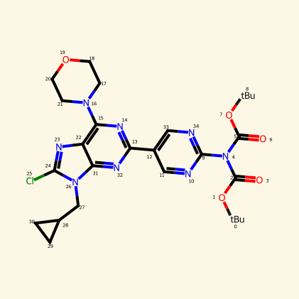 CC(C)(C)OC(=O)N(C(=O)OC(C)(C)C)c1ncc(-c2nc(N3CCOCC3)c3nc(Cl)n(CC4CC4)c3n2)cn1